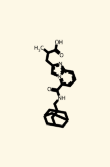 CC(Cc1cn2c(C(=O)NCC34CC5CC(CC(C5)C3)C4)cccc2n1)C(=O)O